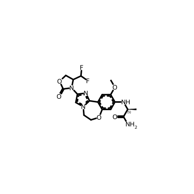 COc1cc2c(cc1N[C@@H](C)C(N)=O)OCCn1cc(N3C(=O)OCC3C(F)F)nc1-2